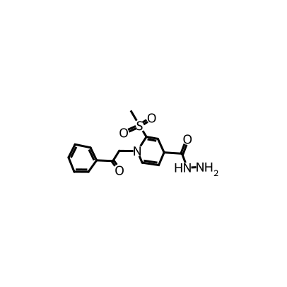 CS(=O)(=O)C1=CC(C(=O)NN)C=CN1CC(=O)c1ccccc1